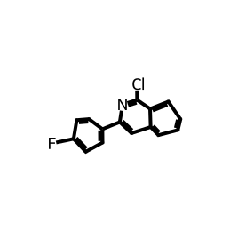 Fc1ccc(-c2cc3ccccc3c(Cl)n2)cc1